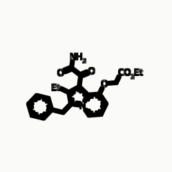 CCOC(=O)COc1cccn2c(Cc3ccccc3)c(CC)c(C(=O)C(N)=O)c12